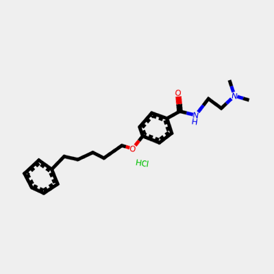 CN(C)CCNC(=O)c1ccc(OCCCCCc2ccccc2)cc1.Cl